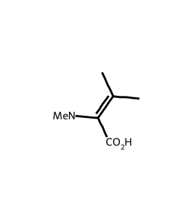 CNC(C(=O)O)=C(C)C